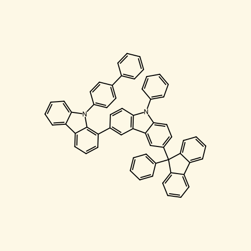 c1ccc(-c2ccc(-n3c4ccccc4c4cccc(-c5ccc6c(c5)c5cc(C7(c8ccccc8)c8ccccc8-c8ccccc87)ccc5n6-c5ccccc5)c43)cc2)cc1